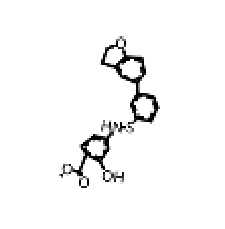 COC(=O)c1ccc(NSc2cccc(-c3ccc4c(c3)CCO4)c2)cc1O